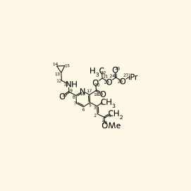 C=C(/C=C(\C)c1ccc(C(=O)NCC2CC2)nc1C(=O)OC(C)OC(=O)OC(C)C)OC